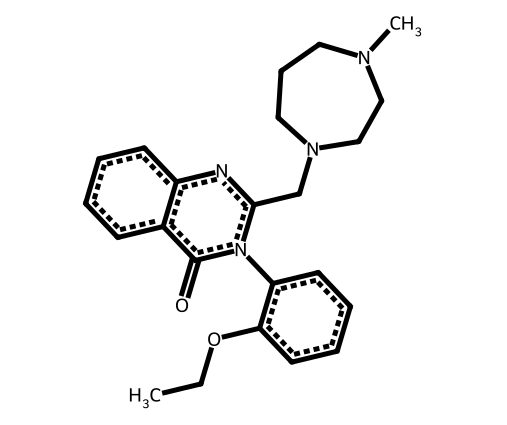 CCOc1ccccc1-n1c(CN2CCCN(C)CC2)nc2ccccc2c1=O